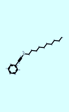 CCCCCCCCCCOC#Cc1ccccc1